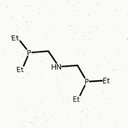 CCP(CC)CNCP(CC)CC